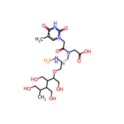 Cc1cn(CC(=O)N(CC(=O)O)C[C@H](COC(CO)C(CO)C(CO)C(C)CO)NP)c(=O)[nH]c1=O